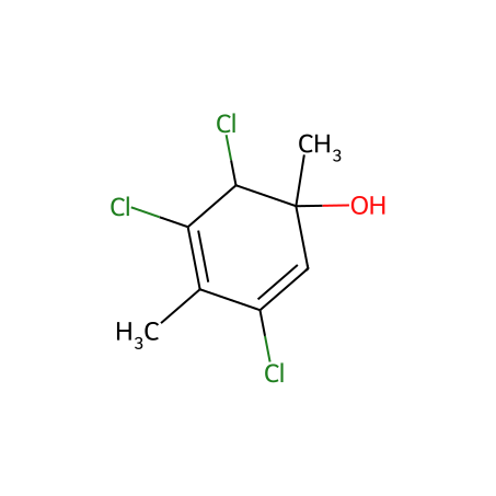 CC1=C(Cl)C(Cl)C(C)(O)C=C1Cl